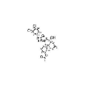 CC(=O)Oc1cccc(C23CCN(C)CC2C(O)C[C@H](NC(=O)Cc2ccc(Cl)c(Cl)c2)C3)c1